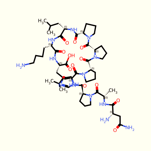 CC(C)C[C@H](NC(=O)[C@@H]1CCCN1C(=O)[C@@H]1CCCN1C(=O)[C@@H]1CCCN1C(=O)[C@H](CC(C)C)NC(=O)[C@@H]1CCCN1C(=O)[C@H](C)NC(=O)[C@@H](N)CC(N)=O)C(=O)N[C@@H](CCCCN)C(=O)N[C@@H](Cc1c[nH]cn1)C(=O)O